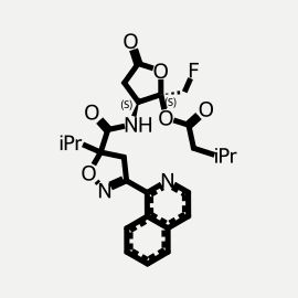 CC(C)CC(=O)O[C@]1(CF)OC(=O)C[C@@H]1NC(=O)C1(C(C)C)CC(c2nccc3ccccc23)=NO1